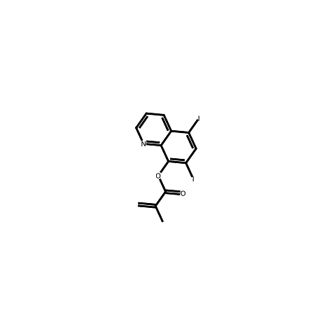 C=C(C)C(=O)Oc1c(I)cc(I)c2cccnc12